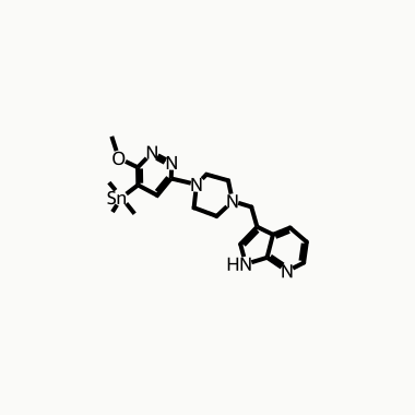 COc1nnc(N2CCN(Cc3c[nH]c4ncccc34)CC2)c[c]1[Sn]([CH3])([CH3])[CH3]